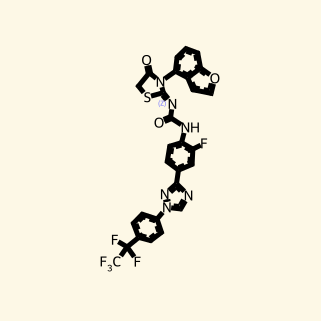 O=C(/N=C1\SCC(=O)N1c1cccc2occc12)Nc1ccc(-c2ncn(-c3ccc(C(F)(F)C(F)(F)F)cc3)n2)cc1F